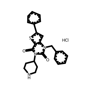 Cl.O=c1c2sc(-c3ccccc3)cc2n(Cc2ccccc2)c(=O)n1C1CCNCC1